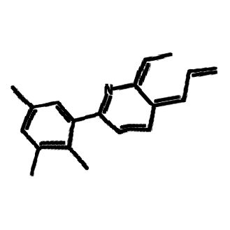 C=C/C=c1/ccc(-c2cc(C)cc(C)c2C)n/c1=C/C